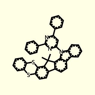 CC1(C)c2c(ccc3c2Sc2ccccc2S3)-c2ccc3c4ccccc4n(-c4cc(-c5ccccc5)nc(-c5ccccc5)n4)c3c21